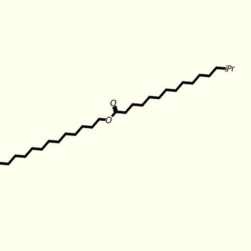 CC(C)CCCCCCCCCCCCCOC(=O)CCCCCCCCCCCCC(C)C